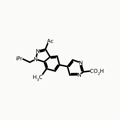 CC(=O)c1nn(CC(C)C)c2c(C)cc(-c3cnc(C(=O)O)nc3)cc12